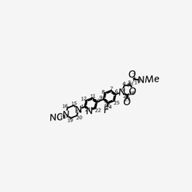 CNC(=O)[C@H]1CN(c2ccc(-c3ccc(N4CCN(C#N)CC4)nc3)c(F)c2)C(=O)O1